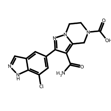 NC(=O)c1c(-c2cc(Cl)c3[nH]ncc3c2)nn2c1CN(C(=O)O)CC2